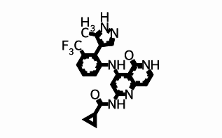 Cc1[nH]ncc1-c1c(Nc2cc(NC(=O)C3CC3)nc3cc[nH]c(=O)c23)cccc1C(F)(F)F